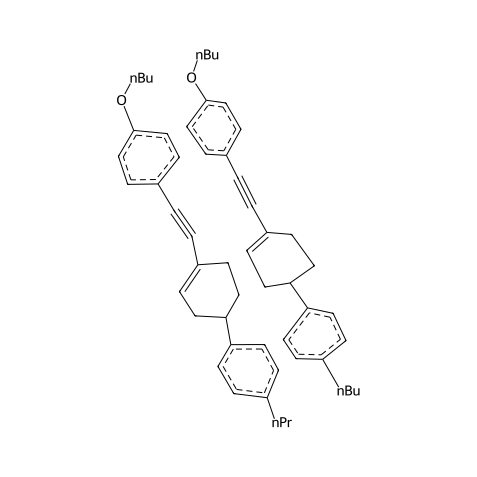 CCCCOc1ccc(C#CC2=CCC(c3ccc(CCC)cc3)CC2)cc1.CCCCOc1ccc(C#CC2=CCC(c3ccc(CCCC)cc3)CC2)cc1